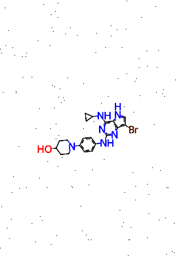 OC1CCN(c2ccc(Nc3nc(NC4CC4)c4[nH]cc(Br)c4n3)cc2)CC1